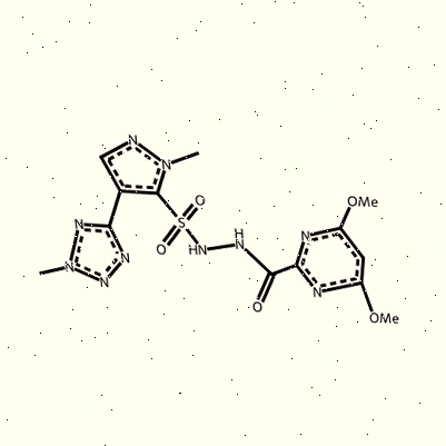 COc1cc(OC)nc(C(=O)NNS(=O)(=O)c2c(-c3nnn(C)n3)cnn2C)n1